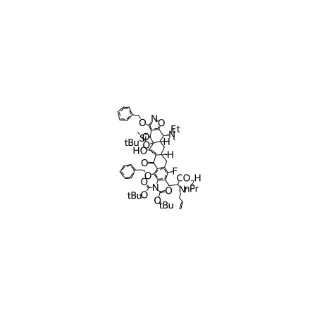 C=CCN(CCC)C(Cc1c(F)c2c(c(OCc3ccccc3)c1N(C(=O)OC(C)(C)C)C(=O)OC(C)(C)C)C(=O)C1=C(O)C3(O[Si](C)(C)C(C)(C)C)C(=O)c4c(OCc5ccccc5)noc4[C@@H](N(C)CC)[C@@H]3C[C@@H]1C2)C(=O)O